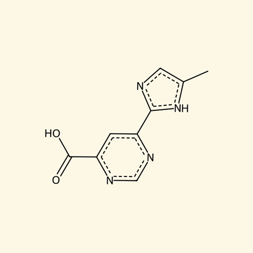 Cc1cnc(-c2cc(C(=O)O)ncn2)[nH]1